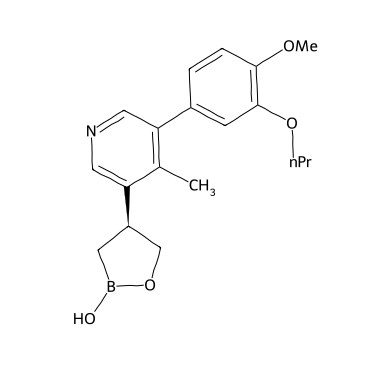 CCCOc1cc(-c2cncc([C@H]3COB(O)C3)c2C)ccc1OC